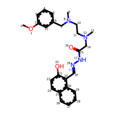 COc1cccc(CN(C)CCN(C)CC(=O)N/N=C/c2c(O)ccc3ccccc23)c1